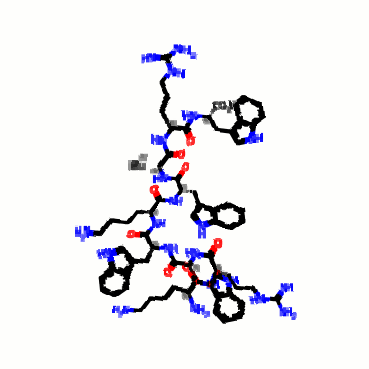 CC[C@H](C)[C@H](NC(=O)[C@H](Cc1c[nH]c2ccccc12)NC(=O)[C@H](CCCCN)NC(=O)[C@H](Cc1c[nH]c2ccccc12)NC(=O)[C@H](Cc1c[nH]c2ccccc12)NC(=O)[C@H](CCCNC(=N)N)NC(=O)[C@@H](N)CCCCN)C(=O)N[C@@H](CCCNC(=N)N)C(=O)N[C@@H](Cc1c[nH]c2ccccc12)C(=O)O